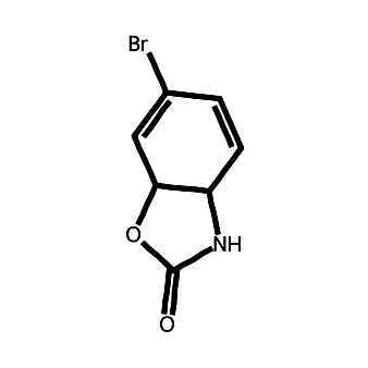 O=C1NC2C=CC(Br)=CC2O1